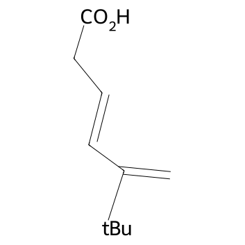 C=C(/C=C/CC(=O)O)C(C)(C)C